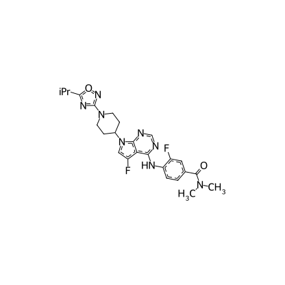 CC(C)c1nc(N2CCC(n3cc(F)c4c(Nc5ccc(C(=O)N(C)C)cc5F)ncnc43)CC2)no1